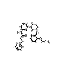 CCOc1cccnc1O[C@@H]1CCCN(c2cncc(NC(=O)CCC34CCC(CC3)CC4)n2)C1